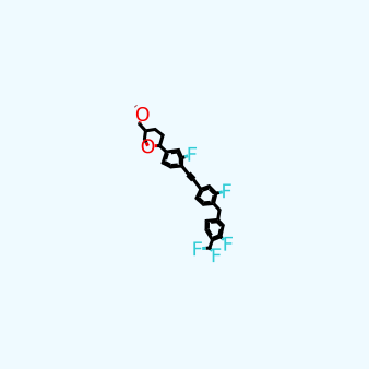 COCC1CCC(c2ccc(C#Cc3ccc(Cc4ccc(C(F)F)c(F)c4)c(F)c3)c(F)c2)OC1